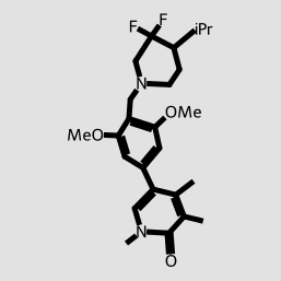 COc1cc(-c2cn(C)c(=O)c(C)c2C)cc(OC)c1CN1CCC(C(C)C)C(F)(F)C1